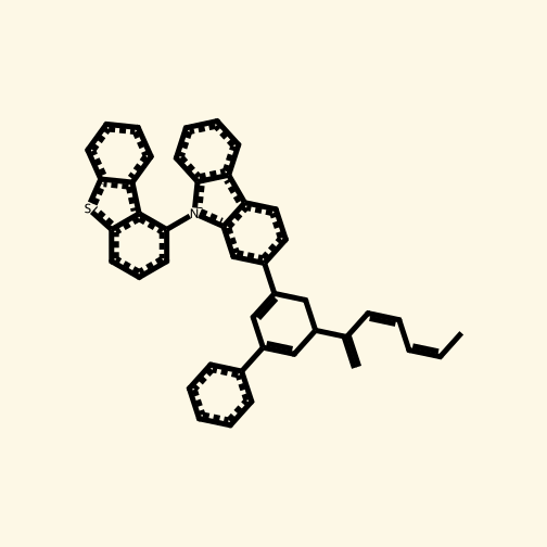 C=C(/C=C\C=C/C)C1C=C(c2ccccc2)C=C(c2ccc3c4ccccc4n(-c4cccc5sc6ccccc6c45)c3c2)C1